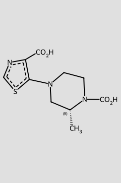 C[C@@H]1CN(c2scnc2C(=O)O)CCN1C(=O)O